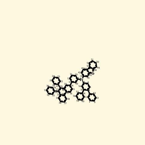 c1ccc(-c2ccc(N(c3cccc(-c4ccc5c(c4)c(-c4ccccc4)c(-c4ccccc4)c4ccccc45)c3)c3ccc4c(c3)sc3ccccc34)cc2-c2ccccc2)cc1